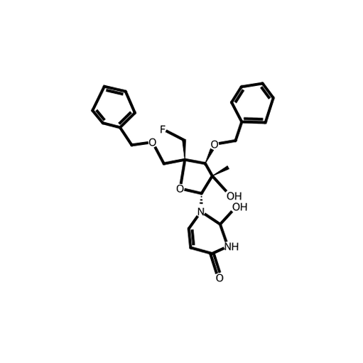 C[C@]1(O)[C@H](OCc2ccccc2)[C@@](CF)(COCc2ccccc2)O[C@H]1N1C=CC(=O)NC1O